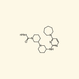 CCCCCCC(=O)N1CCCC(N2CCCC(Nc3nccc(N4CCCCCC4)n3)C2)C1